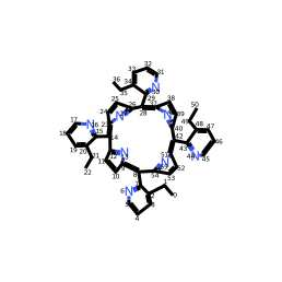 CCc1cccnc1C1=C2C=CC(=N2)C(c2ncccc2CC)=C2C=CC(=N2)C(c2ncccc2CC)=C2C=CC(=N2)C(c2ncccc2CC)=C2C=CC1=N2